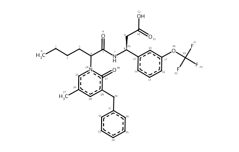 CCCCC(C(=O)N[C@@H](CC(=O)O)c1cccc(OC(F)(F)F)c1)n1cc(C)cc(Cc2ccccc2)c1=O